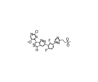 COc1cnc(Cl)nc1[C@@]12CC[C@@H](c3cc(-c4c(F)ccc(-n5cnc(CCS(C)(=O)=O)n5)c4F)nnc31)C2(C)C